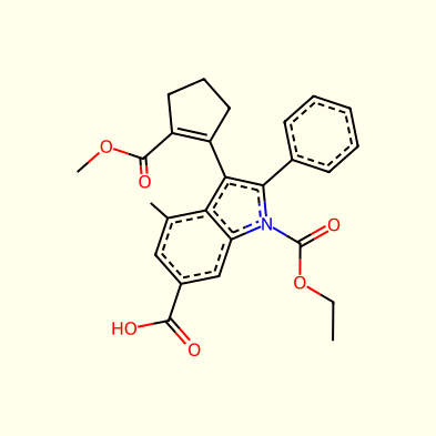 CCOC(=O)n1c(-c2ccccc2)c(C2=C(C(=O)OC)CCC2)c2c(C)cc(C(=O)O)cc21